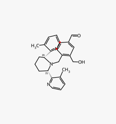 Cc1cccnc1[C@H]1CCC[C@@H](c2ncccc2C)N1Cc1ccc(C=O)cc1CO